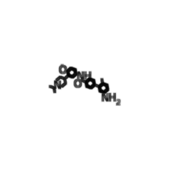 COc1ccc(NC(=O)c2ccc(-c3cc(N)ccc3C)cc2)cc1C1CCN(C(C)C)CC1